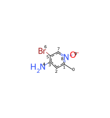 Cc1cc(N)c(Br)c[n+]1[O-]